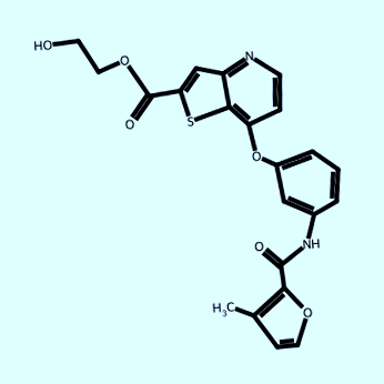 Cc1ccoc1C(=O)Nc1cccc(Oc2ccnc3cc(C(=O)OCCO)sc23)c1